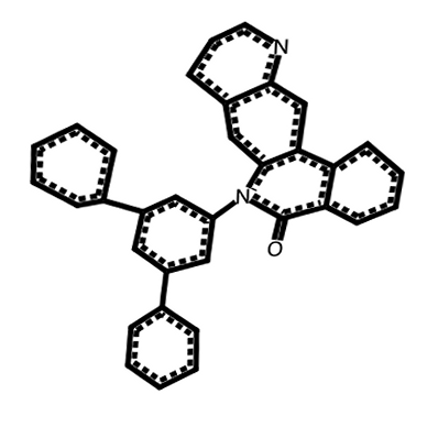 O=c1c2ccccc2c2cc3ncccc3cc2n1-c1cc(-c2ccccc2)cc(-c2ccccc2)c1